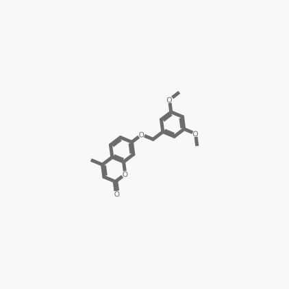 COc1cc(COc2ccc3c(C)cc(=O)oc3c2)cc(OC)c1